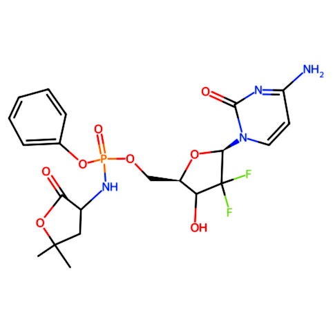 CC1(C)CC(NP(=O)(OC[C@H]2O[C@@H](n3ccc(N)nc3=O)C(F)(F)C2O)Oc2ccccc2)C(=O)O1